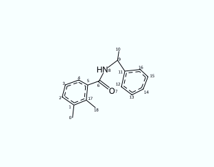 Cc1cccc(C(=O)NC(C)c2ccccc2)c1C